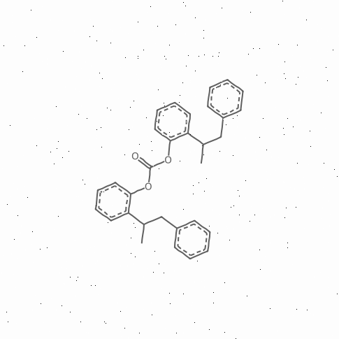 CC(Cc1ccccc1)c1ccccc1OC(=O)Oc1ccccc1C(C)Cc1ccccc1